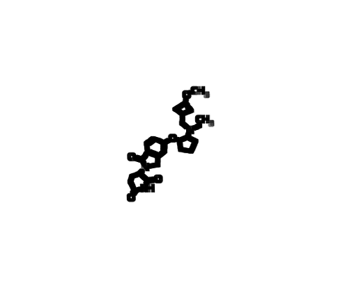 CCN(CC1CC(OC)C1)C1CCCC1Oc1ccc2c(c1)CN(C1CCC(=O)NC1=O)C2=O